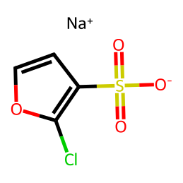 O=S(=O)([O-])c1ccoc1Cl.[Na+]